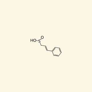 O=S(O)CC=Cc1ccccc1